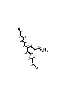 CCCCCCCC(CCCN)CCCCCC